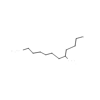 CCCCCCCCCCCCCCCCC(CCCC(C)C)C(=O)O